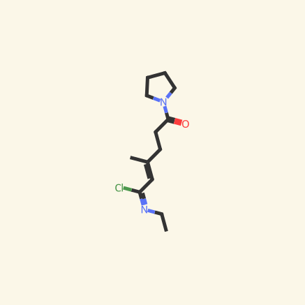 CC/N=C(Cl)\C=C(/C)CCC(=O)N1CCCC1